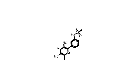 [C-]#[N+]C1=C(c2cccc(NS(C)(=O)=O)c2)NC(C)=C(C#N)[C@H]1C